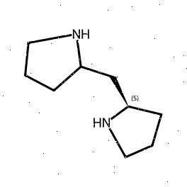 [CH](C1CCCN1)[C@H]1CCCN1